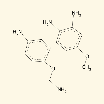 COc1ccc(N)c(N)c1.NCOc1ccc(N)cc1